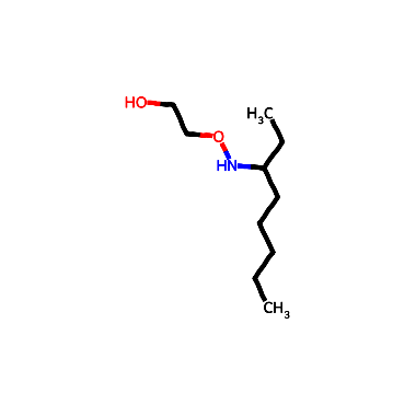 CCCCCC(CC)NOCCO